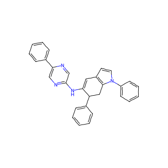 C1=C(Nc2cnc(-c3ccccc3)cn2)C(c2ccccc2)Cc2c1ccn2-c1ccccc1